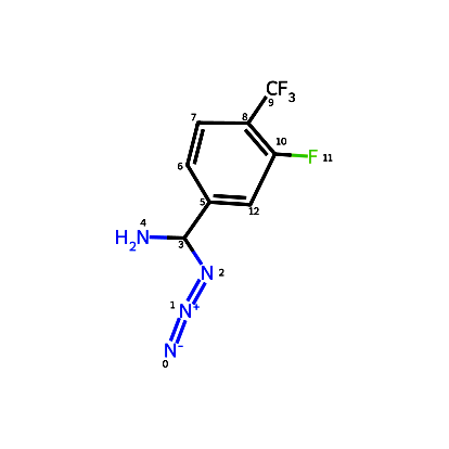 [N-]=[N+]=NC(N)c1ccc(C(F)(F)F)c(F)c1